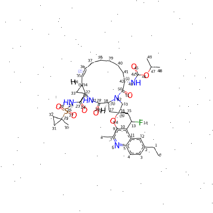 CCc1ccc2nc(C)c3c(c2c1)C(F)C[C@]1(C[C@H]2C(=O)N[C@]4(C(=O)NS(=O)(=O)C5(C)CC5)C[C@H]4/C=C\CCCCC[C@H](NC(=O)OC(C)C)C(=O)N2C1)O3